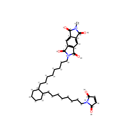 CCn1c(=O)c2cc3c(=O)n(CCCCCCCCC4CCCCC4CCCCCCCCN4C(=O)C=CC4=O)c(=O)c3cc2c1=O